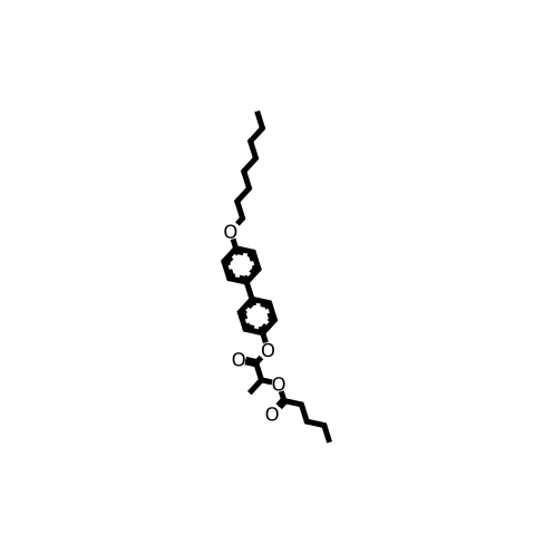 CCCCCCCCOc1ccc(-c2ccc(OC(=O)C(C)OC(=O)CCCC)cc2)cc1